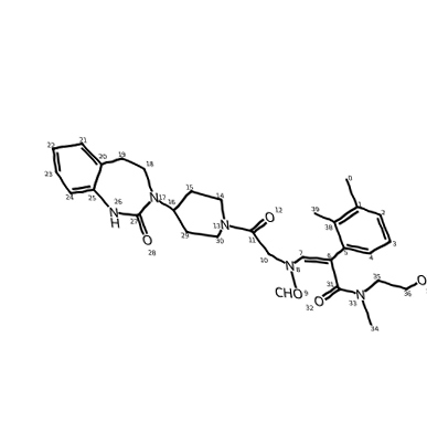 Cc1cccc(/C(=C/N(C=O)CC(=O)N2CCC(N3CCc4ccccc4NC3=O)CC2)C(=O)N(C)CCO)c1C